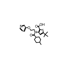 CC1CCC(C(=O)N(CCOc2cccnc2)c2cc(C(C)(C)C)sc2C(=O)O)CC1